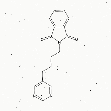 O=C1c2ccccc2C(=O)N1CCCCc1cncnc1